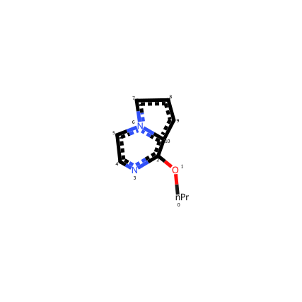 CCCOc1nccn2cccc12